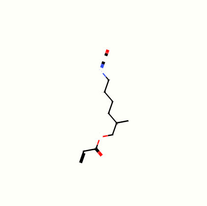 C=CC(=O)OCC(C)CCCCN=C=O